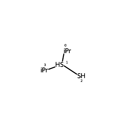 CC(C)[SH](S)C(C)C